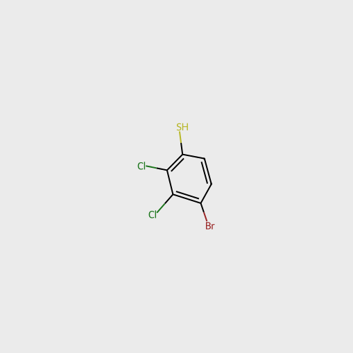 Sc1ccc(Br)c(Cl)c1Cl